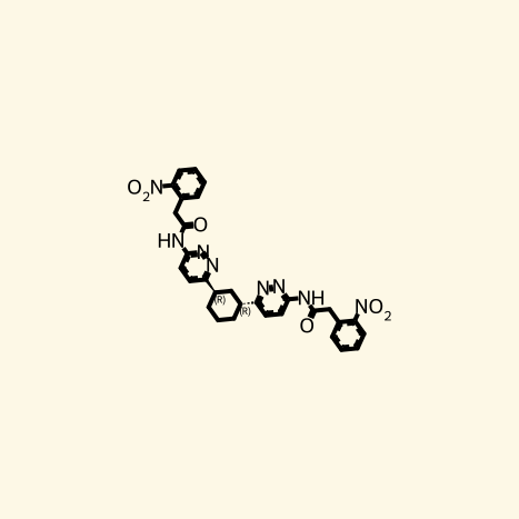 O=C(Cc1ccccc1[N+](=O)[O-])Nc1ccc([C@@H]2CCC[C@@H](c3ccc(NC(=O)Cc4ccccc4[N+](=O)[O-])nn3)C2)nn1